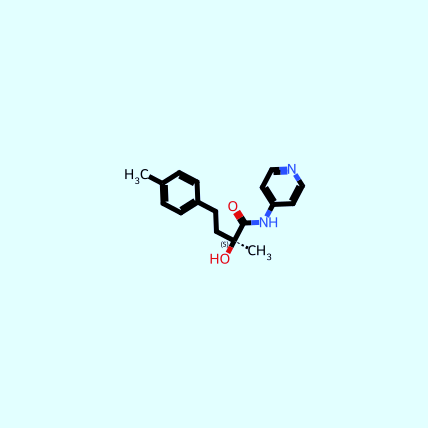 Cc1ccc(CC[C@](C)(O)C(=O)Nc2ccncc2)cc1